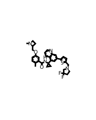 Cc1ccc(OCC2CCN2C)cc1C(=O)NC1(c2cc(-c3ccc(CN4CCC(F)(F)C4)s3)cc3ncccc23)CC1